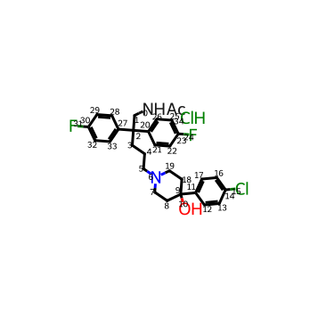 CC(=O)NCC(CCCN1CCC(O)(c2ccc(Cl)cc2)CC1)(c1ccc(F)cc1)c1ccc(F)cc1.Cl